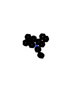 c1ccc(-c2cccc3cccc(-c4ccc(N(c5ccc(C6CC7CCC6C7)cc5)c5ccc6c(c5)C(c5ccccc5)(c5ccccc5)c5ccccc5-6)cc4)c23)cc1